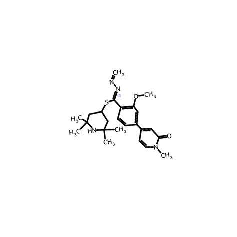 C=N/N=C(\SC1CC(C)(C)NC(C)(C)C1)c1ccc(-c2ccn(C)c(=O)c2)cc1OC